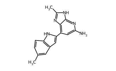 Cc1ccc2[nH]c(-c3cc(N)nc4[nH]c(C)nc34)cc2c1